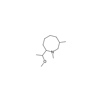 COC(C)C1CCCCC(C)CN1C